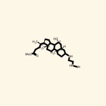 COC(=O)CC[C@@H](C)[C@H]1CCC2C3C(CC[C@@]21C)[C@@]1(C)CCC(NCCNC(C)C)C[C@@H]1C[C@H]3O